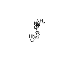 Nc1nc2ccc(-c3csc(C(=O)NC4CCCCC4)c3)cn2n1